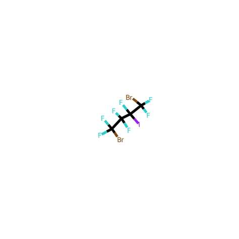 FC(F)(Br)C(F)(F)C(F)(I)C(F)(F)Br